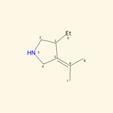 CCC1CNCC1=C(C)C